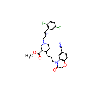 COC(=O)C1CN(C/C=C/c2cc(F)ccc2F)CCC1CCCN1C(=O)COc2ccc(C#N)cc21